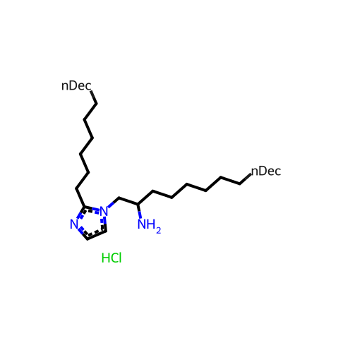 CCCCCCCCCCCCCCCCc1nccn1CC(N)CCCCCCCCCCCCCCCC.Cl